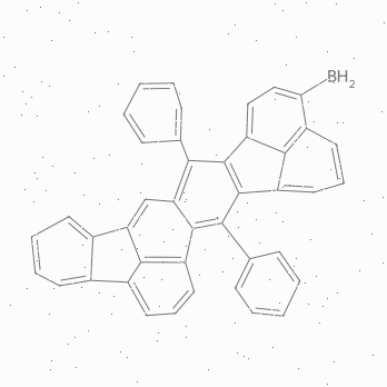 Bc1ccc2c3c(-c4ccccc4)c4cc5c6ccccc6c6cccc(c4c(-c4ccccc4)c3c3cccc1c23)c65